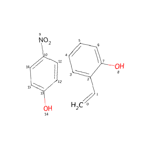 C=Cc1ccccc1O.O=[N+]([O-])c1ccc(O)cc1